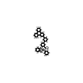 O=c1c2cc(-c3cccc(-c4ccc5c6ccccc6c6ccccc6c5c4)c3)ccc2n2c3ccccc3nc2n1-c1ccccc1